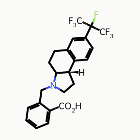 O=C(O)c1ccccc1CN1CC[C@H]2c3ccc(C(F)(C(F)(F)F)C(F)(F)F)cc3CCC21